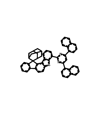 c1ccc2c(c1)-c1ccc3sc4c(-c5nc(-c6cccc7ccccc67)cc(-c6cccc7ccccc67)n5)cccc4c3c1C21C2CC3CC(C2)CC1C3